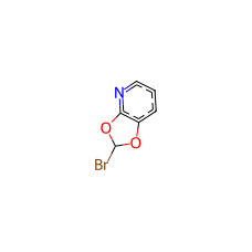 BrC1Oc2cccnc2O1